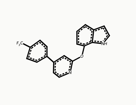 FC(F)(F)c1ccc(-c2ccnc(Oc3cccc4cc[nH]c34)c2)cc1